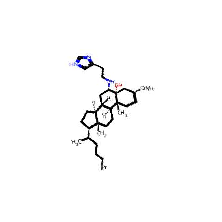 CO[C@H]1CC[C@]2(C)[C@H]3CC[C@]4(C)[C@@H](C(C)CCCC(C)C)CC[C@H]4[C@@H]3C[C@@H](NCCc3c[nH]cn3)[C@@]2(O)C1